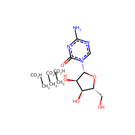 CC(=O)O.CC(=O)O.CC(=O)O.Nc1ncn([C@@H]2O[C@H](CO)[C@@H](O)[C@H]2O)c(=O)n1